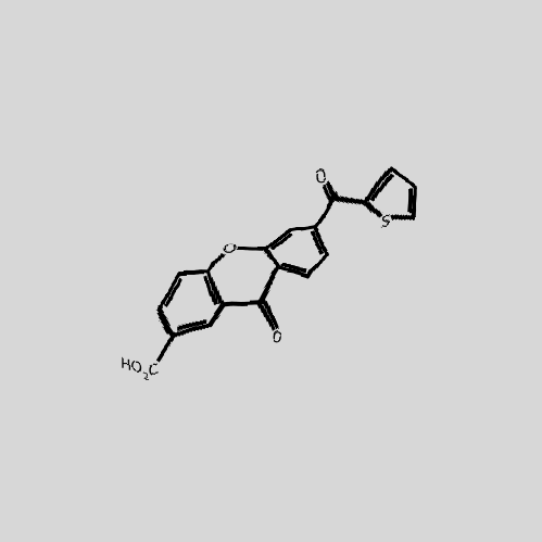 O=C(O)c1ccc2oc3cc(C(=O)c4cccs4)ccc3c(=O)c2c1